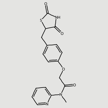 CN(C(=O)COc1ccc(CC2SC(=O)NC2=O)cc1)c1ccccn1